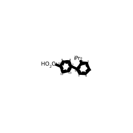 CC(C)c1ccccc1-c1ccc(C(=O)O)cc1